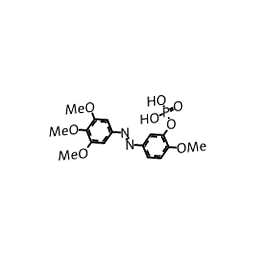 COc1ccc(N=Nc2cc(OC)c(OC)c(OC)c2)cc1OP(=O)(O)O